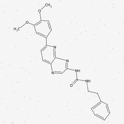 COc1ccc(-c2ccc3ncc(NC(=O)NCCc4ccccc4)nc3n2)cc1OC